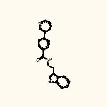 O=C(NCCc1c[nH]c2ccccc12)c1ccc(-c2cccnc2)cc1